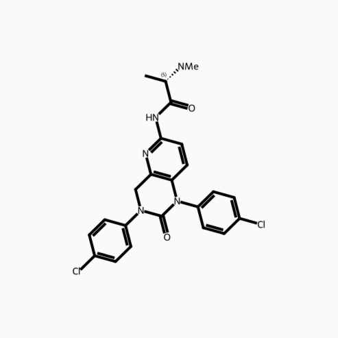 CN[C@@H](C)C(=O)Nc1ccc2c(n1)CN(c1ccc(Cl)cc1)C(=O)N2c1ccc(Cl)cc1